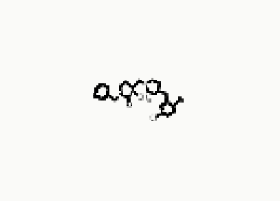 CN1C(=O)N(Cc2ccccc2)CCC1CN1CCC(Cc2cc(Cl)ccc2Br)CC1